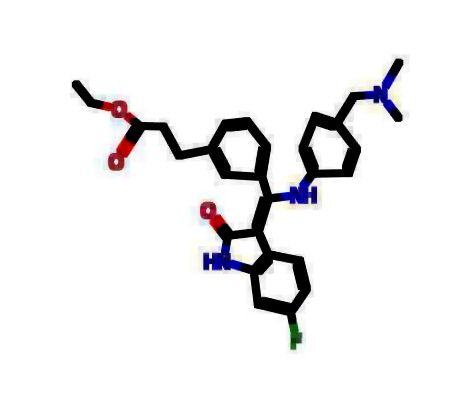 CCOC(=O)CCc1cccc(C(Nc2ccc(CN(C)C)cc2)=C2C(=O)Nc3cc(F)ccc32)c1